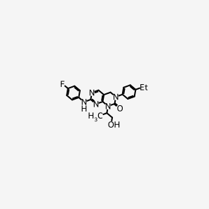 CCc1ccc(N2Cc3cnc(Nc4ccc(F)cc4)nc3N(C(C)CO)C2=O)cc1